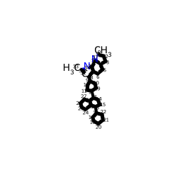 Cc1ccc2ccc3c(-c4ccc(-c5ccc(-c6ccccc6)c6ccccc56)cc4)cc(C)nc3c2n1